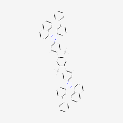 Cc1cc(N(c2cccc(-c3ccccc3)c2)c2cccc3ccccc23)cc2c1-c1cc3c(cc1C2(C)C)-c1c(C)cc(N(c2cccc(-c4ccccc4)c2)c2cccc4ccccc24)cc1C3(C)C